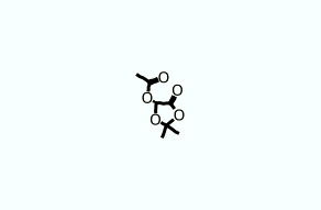 CC(=O)O[C@@H]1OC(C)(C)OC1=O